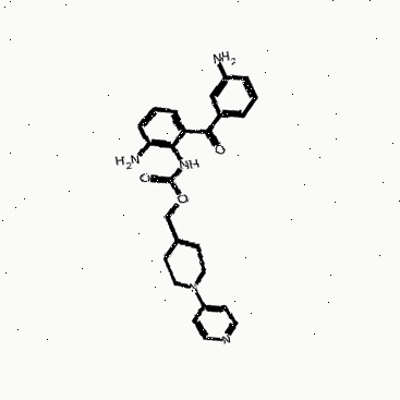 Nc1cccc(C(=O)c2cccc(N)c2NC(=O)OCC2CCN(c3ccncc3)CC2)c1